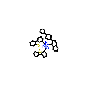 c1ccc(-c2ccc(-c3ccc4ccccc4c3-c3nc(-c4cccc5c4sc4ccccc45)nc(-c4cccc5c4sc4ccccc45)n3)cc2)cc1